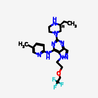 CC[C@H]1CN(c2nc(Nc3ccc(C)cn3)c3c(cnn3CCOCC(F)(F)F)n2)CCN1